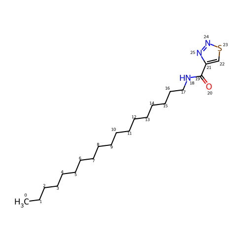 CCCCCCCCCCCCCCCCCCNC(=O)c1csnn1